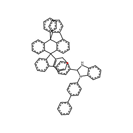 C1=CCCC(C2(c3ccccc3-c3ccc(C4Nc5ccccc5N4c4ccc(-c5ccccc5)cc4)cc3)c3ccccc3C3(c4ccccc4)c4ccccc4-c4cccc2c43)=C1